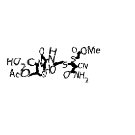 COC(=O)CSC(SCC(=O)N[C@@H]1C(=O)N2C(C(=O)O)=C(COC(C)=O)CS[C@H]12)=C(C#N)C(N)=O